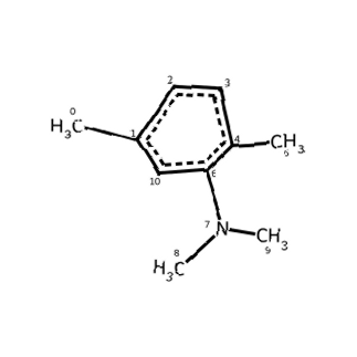 Cc1ccc(C)c(N(C)C)c1